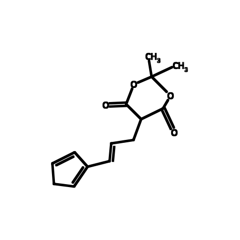 CC1(C)OC(=O)C(C/C=C/C2=CCC=C2)C(=O)O1